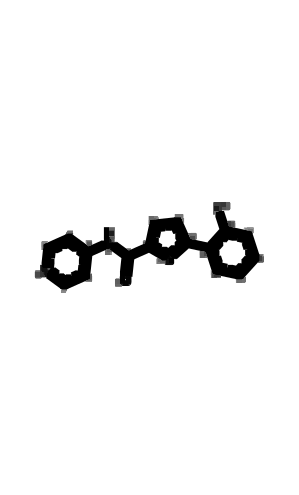 O=C(Nc1ccncc1)c1ccc(-c2ccccc2F)s1